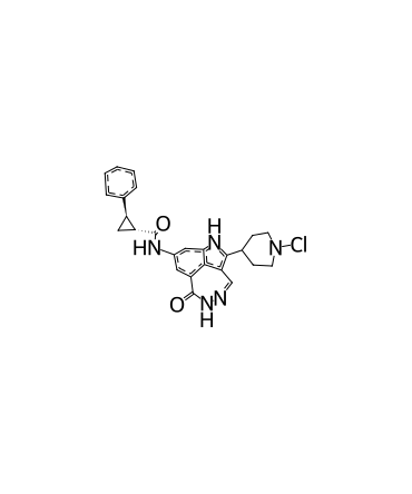 O=C1NN=Cc2c(C3CCN(Cl)CC3)[nH]c3cc(NC(=O)[C@@H]4C[C@H]4c4ccccc4)cc1c23